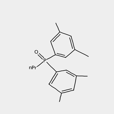 CCCP(=O)(c1cc(C)cc(C)c1)c1cc(C)cc(C)c1